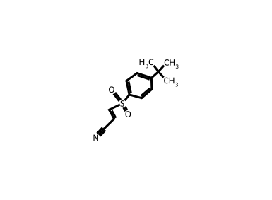 CC(C)(C)c1ccc(S(=O)(=O)C=CC#N)cc1